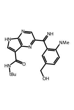 CNc1ccc(CO)cc1C(=N)c1cnc2[nH]cc(C(=O)NC(C)(C)C)c2n1